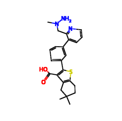 CN(N)Cc1ncccc1-c1cccc(-c2sc3c(c2C(=O)O)CC(C)(C)CC3)c1